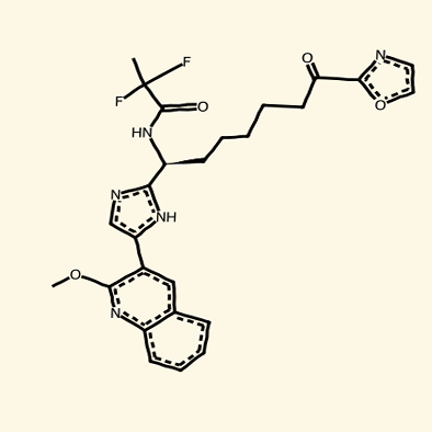 COc1nc2ccccc2cc1-c1cnc([C@H](CCCCCC(=O)c2ncco2)NC(=O)C(C)(F)F)[nH]1